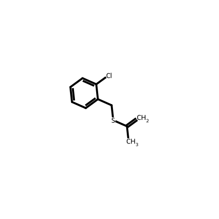 C=C(C)SCc1ccccc1Cl